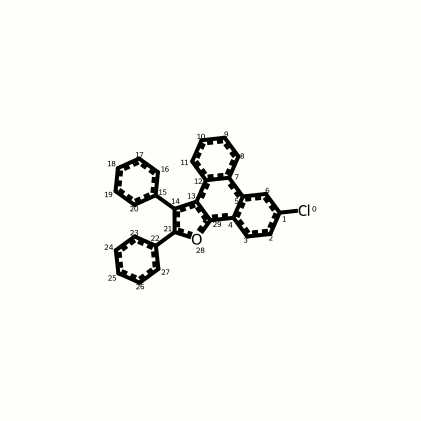 Clc1ccc2c(c1)c1ccccc1c1c(-c3ccccc3)c(-c3ccccc3)oc21